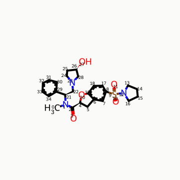 CN(C(=O)[C@@H]1Cc2cc(S(=O)(=O)N3CCCC3)ccc2O1)[C@H](CN1CC[C@H](O)C1)c1ccccc1